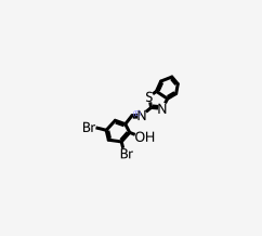 Oc1c(Br)cc(Br)cc1/C=N/c1nc2ccccc2s1